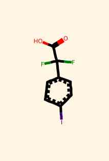 O=C(O)C(F)(F)c1ccc(I)cc1